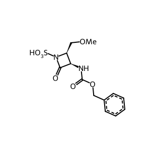 COC[C@H]1[C@@H](NC(=O)OCc2ccccc2)C(=O)N1S(=O)(=O)O